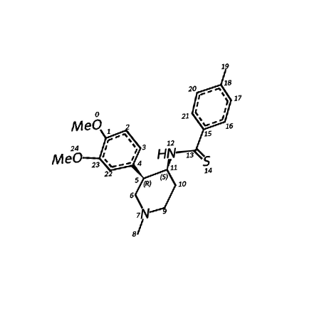 COc1ccc([C@@H]2CN(C)CC[C@@H]2NC(=S)c2ccc(C)cc2)cc1OC